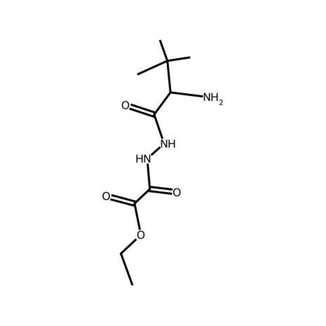 CCOC(=O)C(=O)NNC(=O)C(N)C(C)(C)C